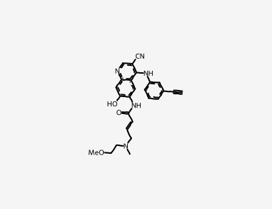 C#Cc1cccc(Nc2c(C#N)cnc3cc(O)c(NC(=O)/C=C/CN(C)CCOC)cc23)c1